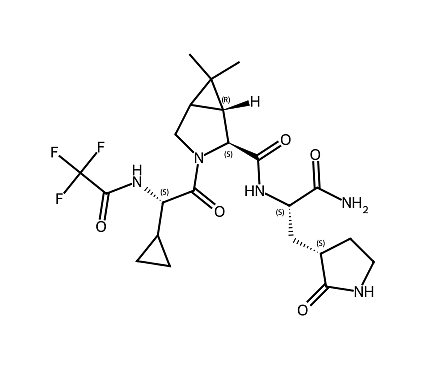 CC1(C)C2CN(C(=O)[C@@H](NC(=O)C(F)(F)F)C3CC3)[C@H](C(=O)N[C@@H](C[C@@H]3CCNC3=O)C(N)=O)[C@H]21